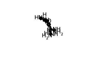 N=C(N)NCC[C@H](CNC(=N)N)OCc1ccc(-n2cc3cc(C4CCNC4)[nH]c3nc2=O)cc1